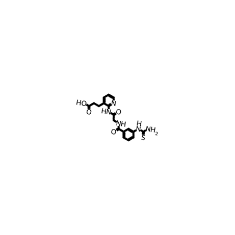 NC(=S)Nc1cccc(C(=O)NCC(=O)Nc2ncccc2CCC(=O)O)c1